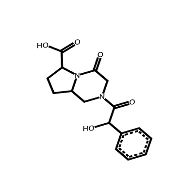 O=C(O)C1CCC2CN(C(=O)C(O)c3ccccc3)CC(=O)N21